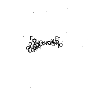 C=CC(=O)N1C[C@H](S(=O)(=O)c2ccc(N3CC(O)(CN4CCC(C(CNC(C)=O)(c5cccc(F)c5)[C@H]5CCC[C@@H]5NC(=O)OC)CC4)C3)cc2)CC(F)(F)C1